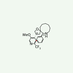 COc1cnc(C(F)(F)F)cc1[C@@H]1COC2(CCCCCCN[C@H]2c2ccccc2)C1